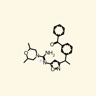 CC1CN(/C(N)=N/c2cc(C(C)c3cccc(C(=O)c4ccccc4)c3)no2)CC(C)O1